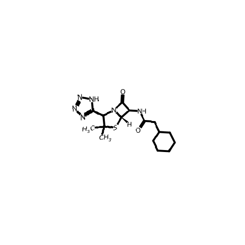 CC1(C)S[C@H]2C(NC(=O)CC3CCCCC3)C(=O)N2C1c1nnn[nH]1